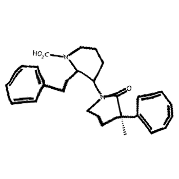 C[C@]1(c2ccccc2)CCN(C2CCCN(C(=O)O)C2Cc2ccccc2)C1=O